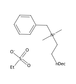 CCCCCCCCCCCC[N+](C)(C)Cc1ccccc1.CCS(=O)(=O)[O-]